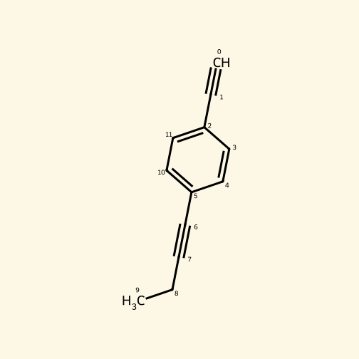 C#Cc1ccc(C#CCC)cc1